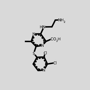 Cc1nc(NCCN)c(C(=O)O)nc1Sc1ccnc(Cl)c1Cl